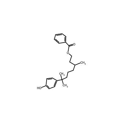 CC(CCCC(C)(C)c1ccc(O)cc1)CCOC(=O)c1ccccc1